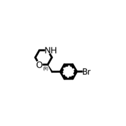 Brc1ccc(C[C@@H]2CNCCO2)cc1